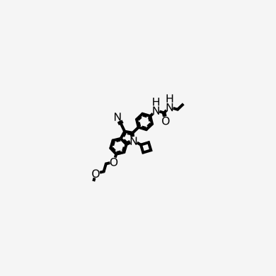 CCNC(=O)Nc1ccc(-c2c(C#N)c3ccc(OCCOC)cc3n2C2CCC2)cc1